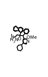 COc1ncc(C2CCCCC2)cc1C(c1ccccc1)C(CCN(C)C)(ON)c1cccc2ccccc12